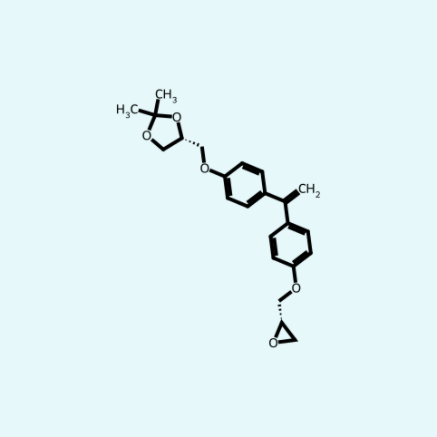 C=C(c1ccc(OC[C@@H]2CO2)cc1)c1ccc(OC[C@@H]2COC(C)(C)O2)cc1